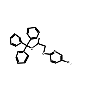 CC(COc1ccc(N)cn1)OC(c1ccccc1)(c1ccccc1)c1ccccc1